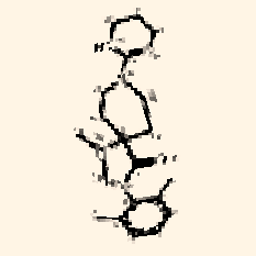 Cc1cccc(C)c1NC(=O)C1(N(C)C)CCN(C2=NCCCN2)CC1